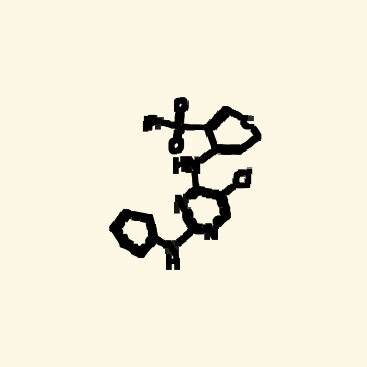 CC(C)S(=O)(=O)C1=CCCC=C1Nc1nc(Nc2ccccc2)ncc1Cl